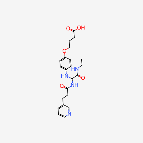 CCNC(=O)C(NC(=O)CCc1cccnc1)Nc1ccc(OCCCC(=O)O)cc1